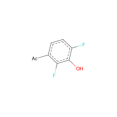 CC(=O)c1ccc(F)c(O)c1F